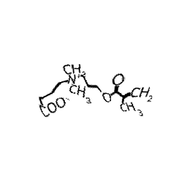 C=C(C)C(=O)OCCC[N+](C)(C)CCCC(=O)[O-]